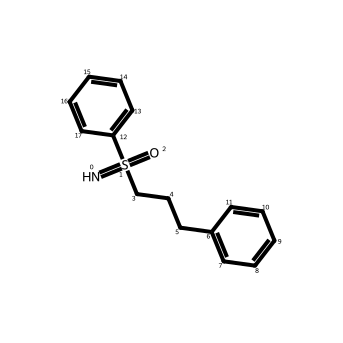 N=S(=O)(CCCc1ccccc1)c1ccccc1